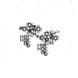 CC(C)c1c(C(=O)Nc2ccccc2F)c(-c2ccccc2)c(-c2ccc(F)cc2)n1CC[C@@H](O)C[C@@H](O)CC(=O)[O-].CC(C)c1c(C(=O)Nc2ccccc2F)c(-c2ccccc2)c(-c2ccc(F)cc2)n1CC[C@@H](O)C[C@@H](O)CC(=O)[O-].[Ca+2]